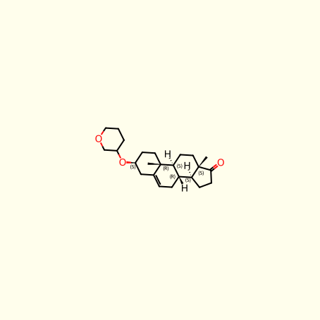 C[C@]12CC[C@H](OC3CCCOC3)CC1=CC[C@@H]1[C@@H]2CC[C@]2(C)C(=O)CC[C@@H]12